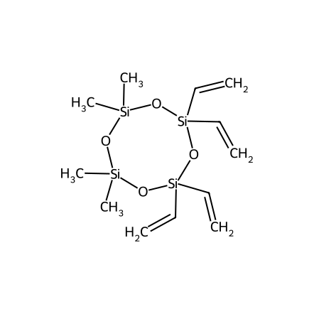 C=C[Si]1(C=C)O[Si](C)(C)O[Si](C)(C)O[Si](C=C)(C=C)O1